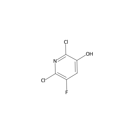 Oc1cc(F)c(Cl)nc1Cl